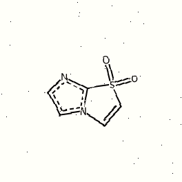 O=S1(=O)C=Cn2c[c]nc21